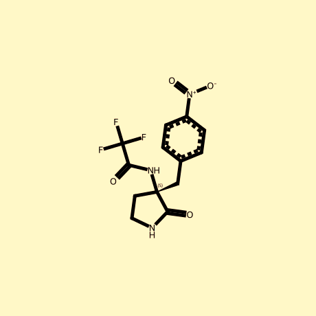 O=C(N[C@@]1(Cc2ccc([N+](=O)[O-])cc2)CCNC1=O)C(F)(F)F